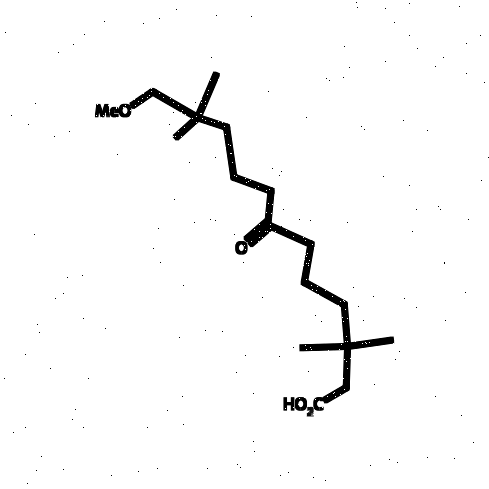 COCC(C)(C)CCCC(=O)CCCC(C)(C)CC(=O)O